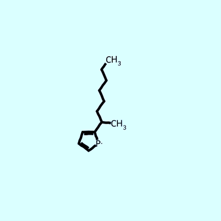 CCCCCCC(C)C1=CC=C[P]1